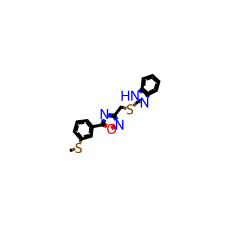 CSc1cccc(-c2nc(CSc3nc4ccccc4[nH]3)no2)c1